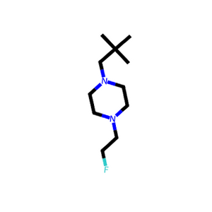 CC(C)(C)CN1CCN(CCF)CC1